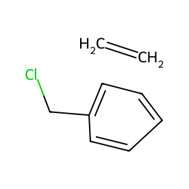 C=C.ClCc1ccccc1